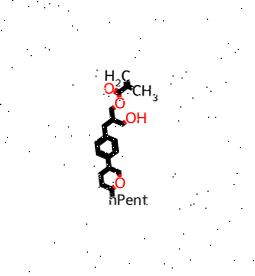 C=C(C)C(=O)OCC(CO)Cc1ccc(C2CCC(CCCCC)OC2)cc1